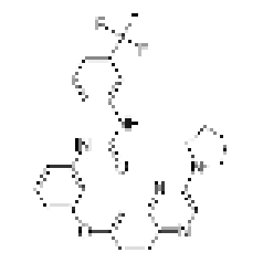 O=C(Nc1cccc(Oc2ccc3ncc(N4CCCC4)nc3c2)c1)Nc1cccc(C(F)(F)F)c1